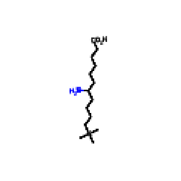 C[Si](C)(C)CCCCC(N)CCCCCC(=O)O